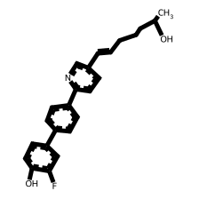 CC(O)CCCC=Cc1ccc(-c2ccc(-c3ccc(O)c(F)c3)cc2)nc1